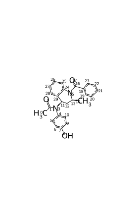 CC(=O)N(c1ccc(O)cc1)[C@@H]1C[C@H](C)N(C(=O)c2ccccc2)c2ccccc21